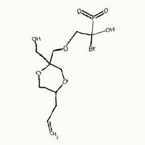 C=CCC1COC(CO)(COCC(O)(Br)P(=O)=O)CO1